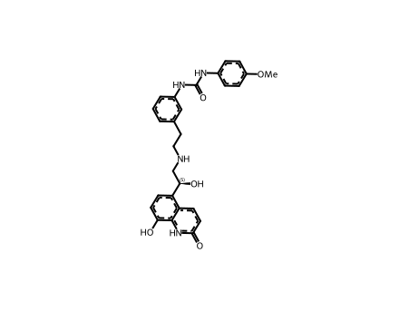 COc1ccc(NC(=O)Nc2cccc(CCNC[C@@H](O)c3ccc(O)c4[nH]c(=O)ccc34)c2)cc1